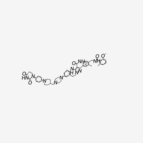 COc1cccc(C)c1C(=O)NCc1ccc(-c2nn3c(c2C(N)=O)Nc2ccc(N4CCN(CC5CCN(c6ccc(N7CCC(=O)NC7=O)cc6)CC5)CC4)cc2CC3)cc1C